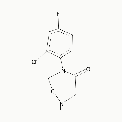 O=C1CNCCN1c1ccc(F)cc1Cl